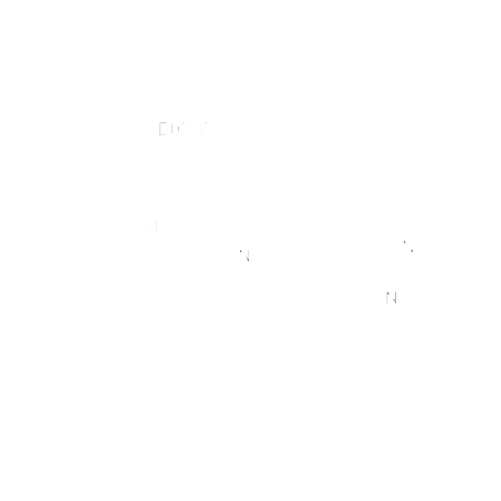 CCOC(=O)C1C2C=CC3=NN=CC3=C2N(Cc2ccccc2)C1Cl